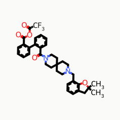 CC1(C)Cc2cccc(CN3CCC4(CC3)CCN(C(=O)c3ccccc3-c3ccccc3C(=O)OC(=O)C(F)(F)F)CC4)c2O1